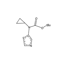 CC(C)(C)OC(=O)N(c1cncs1)C1CC1